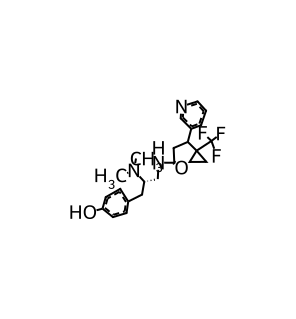 CN(C)[C@H](CNC(=O)CC(c1cccnc1)C1(C(F)(F)F)CC1)Cc1ccc(O)cc1